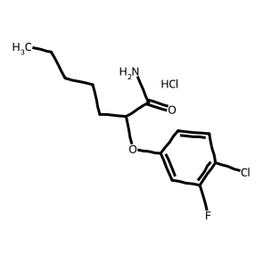 CCCCCC(Oc1ccc(Cl)c(F)c1)C(N)=O.Cl